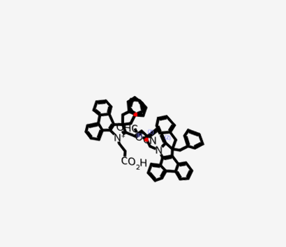 N#CC(=C\C=C1/N(CCOC=O)c2c(c3ccccc3c3ccccc23)C1(Cc1ccccc1)Cc1ccccc1)/C=C/C1=[N+](CCC(=O)O)c2c(c3ccccc3c3ccccc23)C1(Cc1ccccc1)Cc1ccccc1